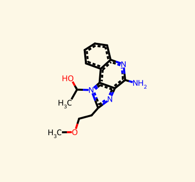 COCCc1nc2c(N)nc3ccccc3c2n1[C](C)O